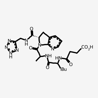 CCC(C)C(NC(=O)CCC(=O)O)C(=O)NC(C)C(=O)N1c2ncccc2C[C@H]1C(=O)NCc1nn[nH]n1